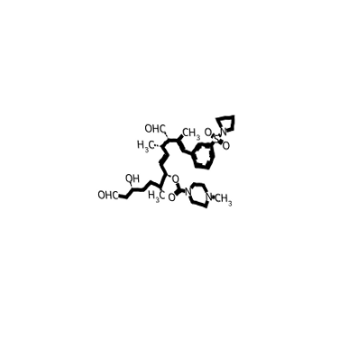 C/C(=C\c1cccc(S(=O)(=O)N2CCC2)c1)[C@@H](C=O)[C@@H](C)/C=C/[C@H](OC(=O)N1CCN(C)CC1)[C@@H](C)CC[C@@H](O)CC=O